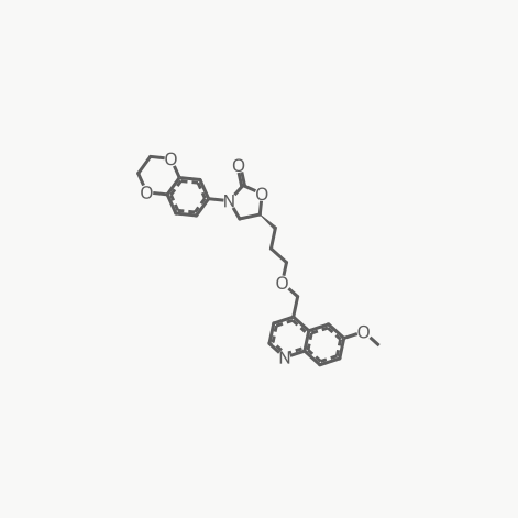 COc1ccc2nccc(COCCC[C@H]3CN(c4ccc5c(c4)OCCO5)C(=O)O3)c2c1